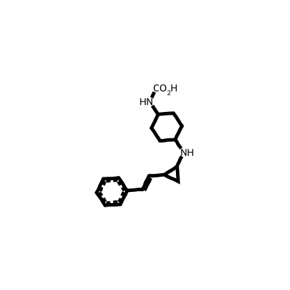 O=C(O)NC1CCC(NC2CC2C=Cc2ccccc2)CC1